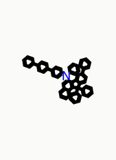 c1ccc(-c2ccc(-c3ccc(N(c4ccccc4)c4cc5ccccc5c5c4-c4cc(-c6ccccc6)ccc4C5(c4ccccc4)c4ccccc4)cc3)cc2)cc1